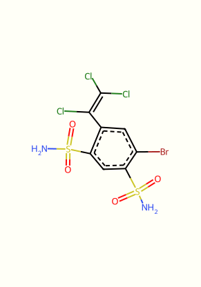 NS(=O)(=O)c1cc(S(N)(=O)=O)c(C(Cl)=C(Cl)Cl)cc1Br